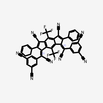 N#CC1=C(C2=CC=CCC2)/C(=C(/C#N)c2cc(C#N)cc(C#N)c2)c2c1c(C(F)(F)F)c1c(c2C(F)(F)F)/C(=C(\C#N)c2cc(C#N)cc(C#N)c2)C(c2ccccc2)=C1C#N